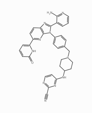 N#Cc1nccc(NC2CCN(Cc3ccc(-n4c(-c5cccnc5N)nc5ccc(-c6cccc(=O)[nH]6)nc54)cc3)CC2)n1